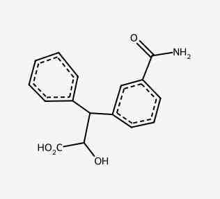 NC(=O)c1cccc(C(c2ccccc2)C(O)C(=O)O)c1